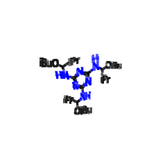 CC(C)COC(Nc1nc(NC(OCC(C)C)C(C)C)nc(NC(OCC(C)C)C(C)C)n1)C(C)C